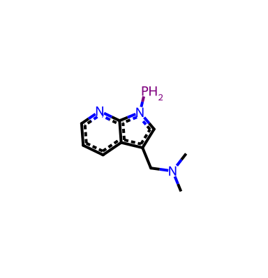 CN(C)Cc1cn(P)c2ncccc12